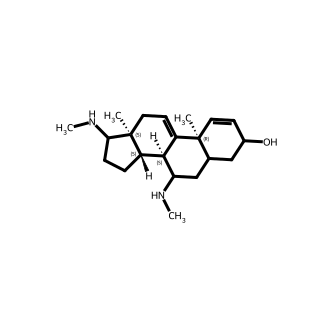 CNC1CC2CC(O)C=C[C@]2(C)C2=CC[C@]3(C)C(NC)CC[C@H]3[C@@H]21